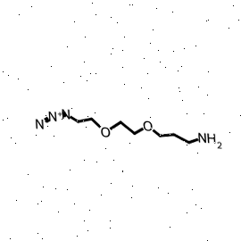 [N-]=[N+]=NCCOCCOCCCN